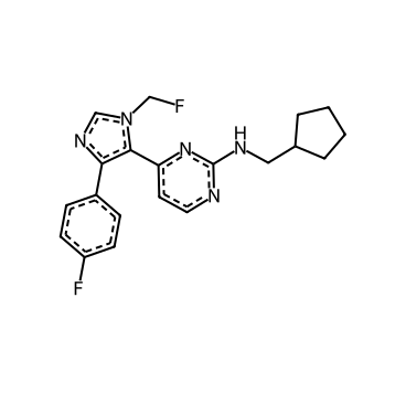 FCn1cnc(-c2ccc(F)cc2)c1-c1ccnc(NCC2CCCC2)n1